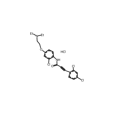 CCN(CC)CCOc1ccc(NC(=O)C#Cc2ccc(Cl)cc2Cl)c(Cl)c1.Cl